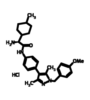 COc1ccc(Cn2nc(C)c(-c3ccc(NC(=O)[C@@H](N)C4CCC(C)CC4)cc3)c2C)cc1.Cl